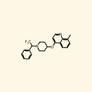 Cc1cccc2c(OC3CCN(C(c4ccccc4)C(F)(F)F)CC3)ccnc12